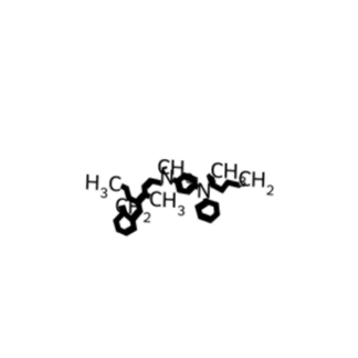 C=CCC/C(=C\C)N(C1=CC=CCC1)c1ccc(N(C)C\C=C/C(C)=C(/C=C2/C=CCCC2=C)CCC)cc1